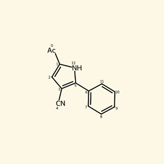 CC(=O)c1cc(C#N)c(-c2ccccc2)[nH]1